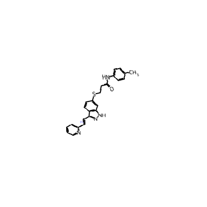 Cc1ccc(NC(=O)CCSc2ccc3c(/C=C/c4ccccn4)n[nH]c3c2)cc1